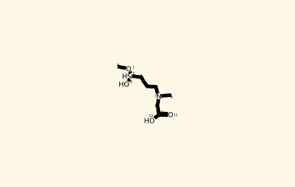 CO[SiH](O)CCCN(C)CC(=O)O